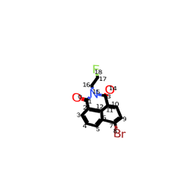 O=C1c2cccc3c(Br)ccc(c23)C(=O)N1CCF